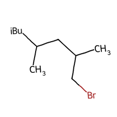 CCC(C)C(C)CC(C)CBr